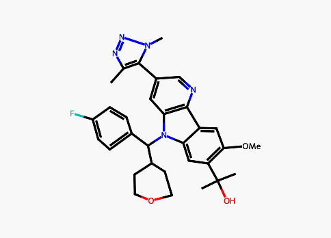 COc1cc2c3ncc(-c4c(C)nnn4C)cc3n(C(c3ccc(F)cc3)C3CCOCC3)c2cc1C(C)(C)O